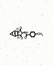 Cc1ccc(C(=O)NN2C(=O)[C@@H]3C4C=CC(C5CC54)[C@@H]3C2=O)cc1